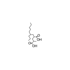 CCCCCC(CCC)CC(CC(C)C(=O)O)C(=O)O